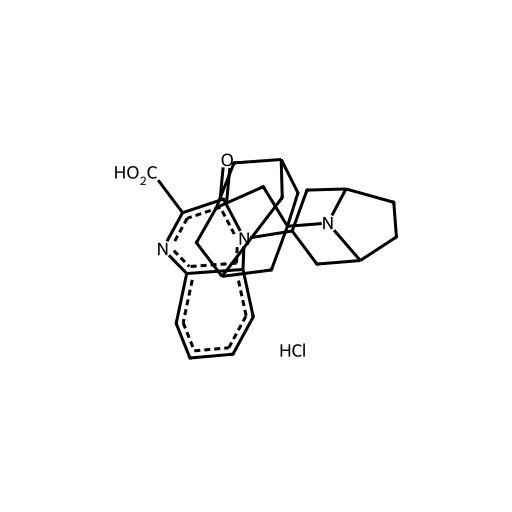 Cl.O=C(O)c1nc2ccccc2n(C2CC3CCC(C2)N3C23CC4CC(CC(C4)C2)C3)c1=O